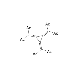 CC(=O)C(C(C)=O)=C1C(=C(C(C)=O)C(C)=O)C1=C(C(C)=O)C(C)=O